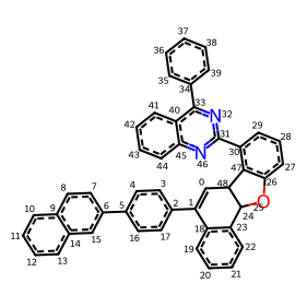 C1=C(c2ccc(-c3ccc4ccccc4c3)cc2)c2ccccc2C2Oc3cccc(-c4nc(-c5ccccc5)c5ccccc5n4)c3C12